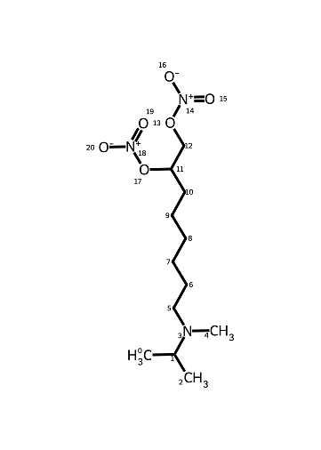 CC(C)N(C)CCCCCCC(CO[N+](=O)[O-])O[N+](=O)[O-]